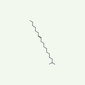 CCCCCCC=CCCCCCCCC[C](C)C